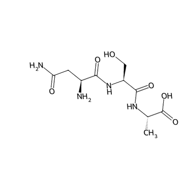 C[C@H](NC(=O)[C@H](CO)NC(=O)[C@@H](N)CC(N)=O)C(=O)O